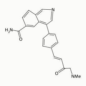 CNCC(=O)/C=C/c1ccc(-c2cncc3ccc(C(N)=O)cc23)cc1